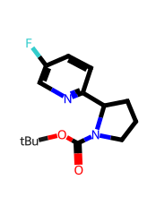 CC(C)(C)OC(=O)N1CCCC1c1ccc(F)cn1